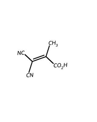 CC(C(=O)O)=C(C#N)C#N